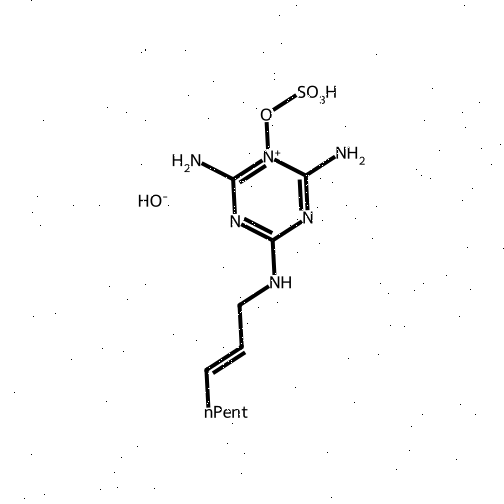 CCCCC/C=C/CNc1nc(N)[n+](OS(=O)(=O)O)c(N)n1.[OH-]